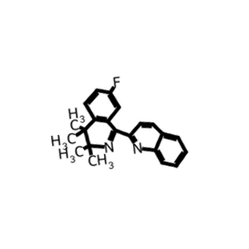 CC1(C)N=C(c2ccc3ccccc3n2)c2cc(F)ccc2C1(C)C